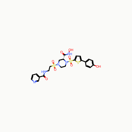 O=C(NCCS(=O)(=O)N1CCN(S(=O)(=O)c2ccc(-c3ccc(O)cc3)s2)[C@@H](C(=O)NO)C1)c1cccnc1